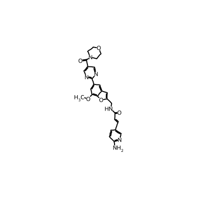 COc1cc(-c2ncc(C(=O)N3CCOCC3)cn2)cc2cc(CNC(=O)C=Cc3ccc(N)nc3)oc12